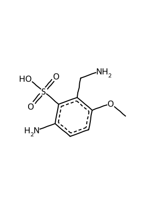 COc1ccc(N)c(S(=O)(=O)O)c1CN